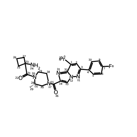 CC(C)c1cc(-c2ccc(F)cc2)nn2cc(C(=O)N3CCN(C(=O)C4(N)CCC4)[C@@H](C)C3)nc12